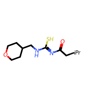 CC(C)CC(=O)/N=C(\S)NCC1CCOCC1